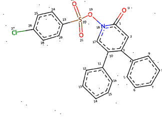 O=c1cc(-c2ccccc2)c(-c2ccccc2)cn1OS(=O)(=O)c1ccc(Cl)cc1